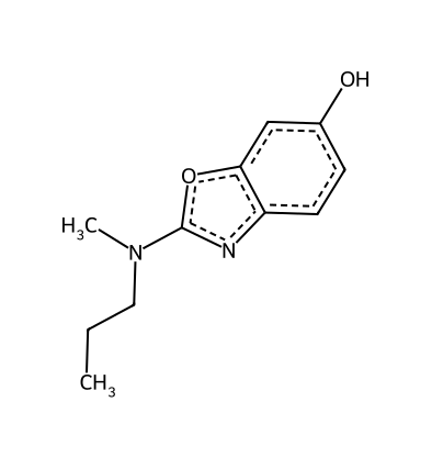 CCCN(C)c1nc2ccc(O)cc2o1